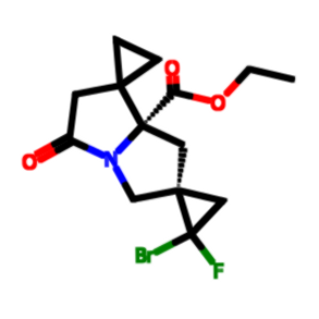 CCOC(=O)[C@]12C[C@]3(CN1C(=O)CC21CC1)CC3(F)Br